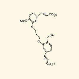 COc1ccc(/C=C/C(=O)O)cc1OCCCOc1cc(/C=C/C(=O)O)ccc1CO